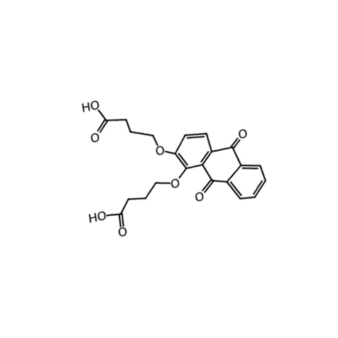 O=C(O)CCCOc1ccc2c(c1OCCCC(=O)O)C(=O)c1ccccc1C2=O